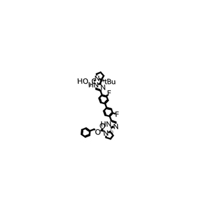 CC(C)(C)[C@]1(c2nc(-c3ccc(-c4ccc(-c5cnc([C@@H]6CCCN6C(=O)OCc6ccccc6)[nH]5)c(F)c4)cc3F)c[nH]2)CCCN1C(=O)O